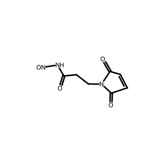 O=NNC(=O)CCN1C(=O)C=CC1=O